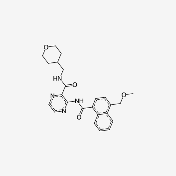 COCc1ccc(C(=O)Nc2nccnc2C(=O)NCC2CCOCC2)c2ccccc12